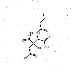 CCCC(=O)NC(C(=O)O)C(O)(CC(=O)O)C(=O)O